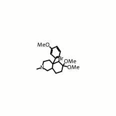 COc1cccc(C23CCN(C)CC2CCC(OC)(OC)C3Br)c1